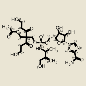 C=C(CO)C(C)NP(=O)(OC[C@H]1O[C@@H](n2cnc(C(N)=O)n2)C(O)C1O)OCC(COC(C)=O)(C(=O)CCO)C(=O)CCO